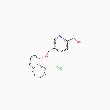 Cl.O=C(O)c1ccc(COc2cccc3ccccc23)cn1